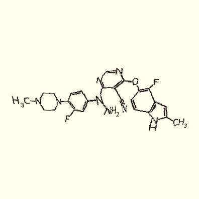 Cc1cc2c(F)c(Oc3ncnc(N(N)c4ccc(N5CCN(C)CC5)c(F)c4)c3C#N)ccc2[nH]1